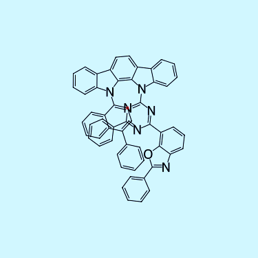 c1ccc(-c2nc(-c3cccc4nc(-c5ccccc5)oc34)nc(-n3c4ccccc4c4ccc5c6ccccc6n(-c6ccc(-c7ccccc7)c7ccccc67)c5c43)n2)cc1